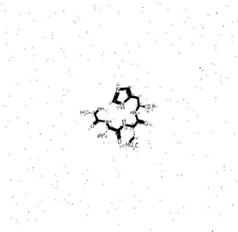 CC(C)[C@H](NC(=O)[C@H](C)N)C(=O)N[C@@H](CC(=O)O)C(=O)N[C@@H](Cc1cnc[nH]1)C(=O)O